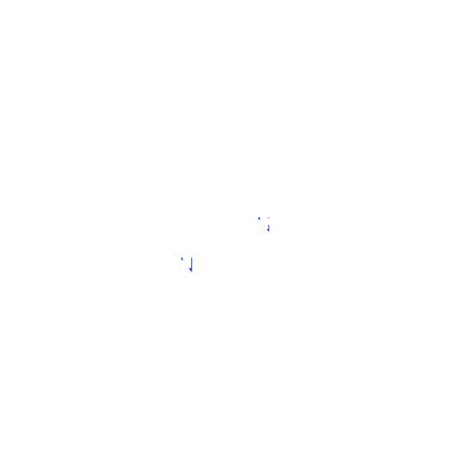 Cc1ccc(-c2nc(-c3ccccc3)cn2Cc2ccccc2)cc1